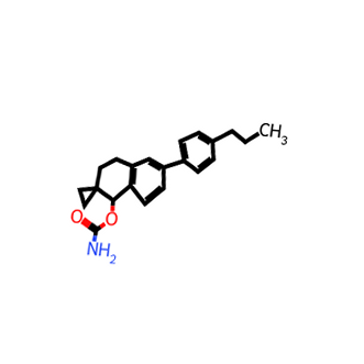 CCCc1ccc(-c2ccc3c(c2)CCC2(CC2)C3OC(N)=O)cc1